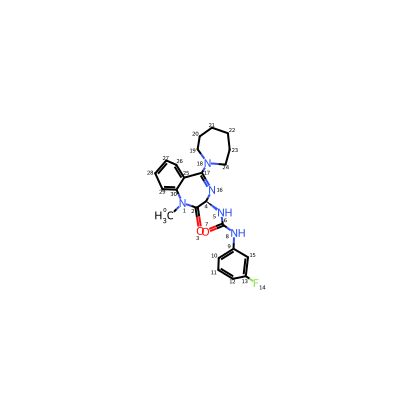 CN1C(=O)[C@H](NC(=O)Nc2cccc(F)c2)N=C(N2CCCCCC2)c2ccccc21